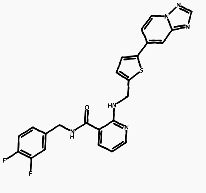 O=C(NCc1ccc(F)c(F)c1)c1cccnc1NCc1ccc(-c2ccn3ncnc3c2)s1